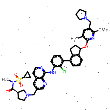 COc1nc(O[C@@H]2CCc3c(-c4cccc(Nc5nccc6cc(CN7CC[C@@H](C(=O)N(C)S(=O)(=O)C8CC8)C7)cnc56)c4Cl)cccc32)c(C)cc1CN1CCCC1